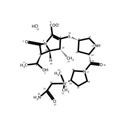 CC(O)[C@H]1C(=O)N2C(C(=O)[O-])=C(S[C@@H]3CN[C@H](C(=O)N4CC[C@H]([N+](C)(C)CC(N)=O)C4)C3)[C@H](C)[C@H]12.Cl